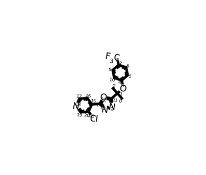 CC(C)(Oc1ccc(C(F)(F)F)cc1)c1nnc(-c2ccncc2Cl)o1